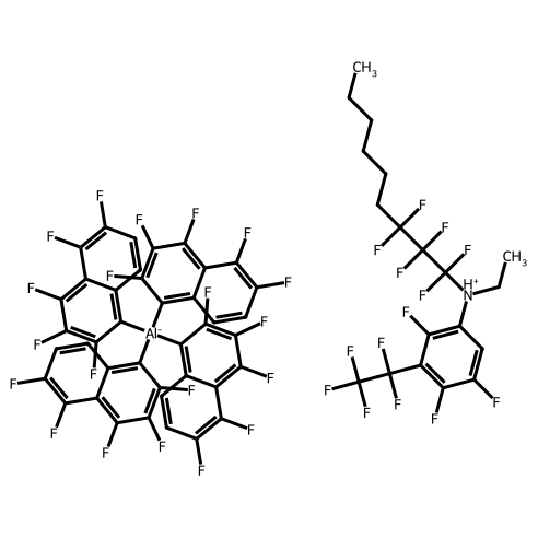 CCCCCCC(F)(F)C(F)(F)C(F)(F)[NH+](CC)c1cc(F)c(F)c(C(F)(F)C(F)(F)F)c1F.Fc1ccc2[c]([Al-]([c]3c(F)c(F)c(F)c4c(F)c(F)ccc34)([c]3c(F)c(F)c(F)c4c(F)c(F)ccc34)[c]3c(F)c(F)c(F)c4c(F)c(F)ccc34)c(F)c(F)c(F)c2c1F